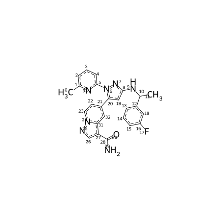 Cc1cccc(-n2nc(NC(C)c3cccc(F)c3)cc2-c2ccn3ncc(C(N)=O)c3c2)n1